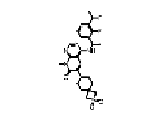 CC(F)c1cccc([C@@H](C)Nc2ncnc3c2cc(C2CCC4(CC2)CS(=O)(=O)C4)c(=O)n3C)c1F